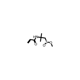 C=CC(=O)NC(C)(C)CS(=O)OC